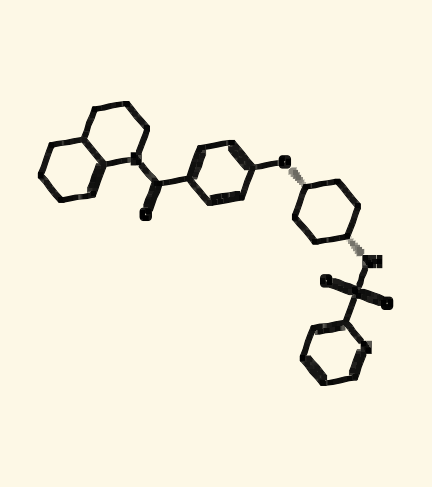 O=C(c1ccc(O[C@H]2CC[C@@H](NS(=O)(=O)c3ccccn3)CC2)cc1)N1CCCC2CCCC=C21